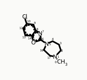 CN1CCCN(c2nc3cc(Cl)ccc3o2)CC1